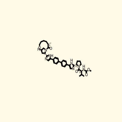 COC(=O)N[C@H](C(=O)N1CCC[C@H]1c1ncc(-c2ccc(-c3ccc(-c4cnc([C@@H]5C[C@H]6CN5C(=O)[C@@H](C)CCCCO6)[nH]4)cc3)cc2)[nH]1)C(C)C